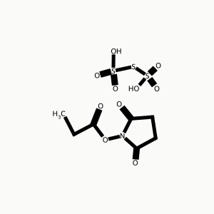 CCC(=O)ON1C(=O)CCC1=O.O=S(=O)(O)SS(=O)(=O)O